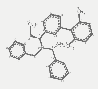 Cc1cccc(C)c1-c1cccc([C@H](CC(=O)O)N(Cc2ccccc2)[C@H](C)c2ccccc2)c1